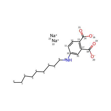 CCCCCCCCCNc1ccc(C(=O)[O-])c(C(=O)[O-])c1.[Na+].[Na+]